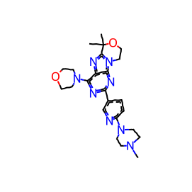 CN1CCN(c2ccc(-c3nc(N4CCOCC4)c4nc5n(c4n3)CCOC5(C)C)cn2)CC1